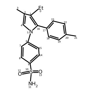 CCc1c(C)cn(-c2ccc(S(N)(=O)=O)cc2)c1-c1ccc(C)cc1